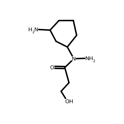 NC1CCCC(N(N)C(=O)CCO)C1